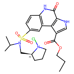 CCCOC(=O)c1c[nH]c2c(=O)[nH]c3ccc(S(=O)(=O)N(C[C@@H]4CCCN4Cl)C(C)C)cc3c12